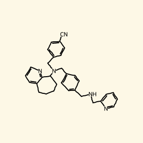 N#Cc1ccc(CN(Cc2ccc(CNCc3ccccn3)cc2)C2CCCCc3cccnc32)cc1